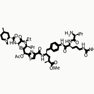 CC[C@H](C)[C@H](NC(=O)[C@H]1C[C@H](C)CCN1C)C(=O)N(CC)[C@H](C[C@@H](OC(C)=O)c1nc(C(=O)N[C@@H](Cc2ccc(NC(=O)[C@H](CCCNC(N)=O)NC(=O)[C@@H](N)C(C)C)cc2)C[C@H](C)C(=O)OC)cs1)C(C)C